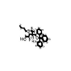 CCCCO[C@@H]([C@@H](F)CO)C(O)(COC(c1ccccc1)(c1ccccc1)c1ccccc1)C(F)(F)F